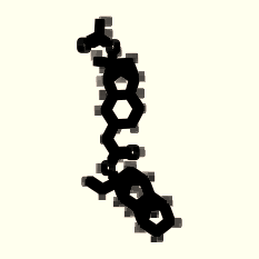 CCC1(OC(=O)CC2CCC3C4CC(C3C2)C(C)(OC(C)=O)C4)CC2CC1C1C3CCC(C3)C21